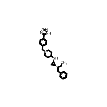 CC/C(=C\c1ccccc1)[C@@H]1C[C@H]1NC1CCN(Cc2ccc(-c3nnn[nH]3)cc2)CC1